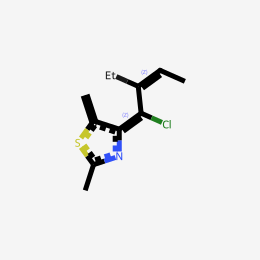 C=c1sc(C)n/c1=C(Cl)/C(=C\C)CC